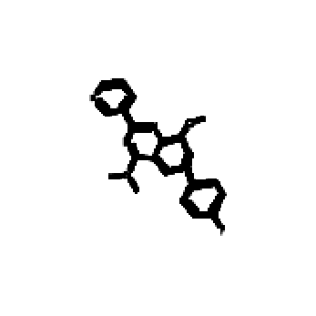 COc1cc(-c2ccc(F)cc2)cc2c(N(C)C)nc(-c3cccnc3)nc12